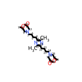 Cc1nc(CCCCN(CC2CO2)CC2CO2)c(C)nc1CCCCN(CC1CO1)CC1CO1